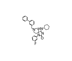 O=C1N=C(NC2CCCCC2)C2(CCN(Cc3cccc(-c4ccccc4)c3)CC2)N1c1cccc(F)c1